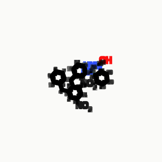 O=[N+]([O-])c1cc(Cc2ccccc2)c(Cc2ccccc2)c([N+](=O)[O-])c1.ON1NNc2ccccc21